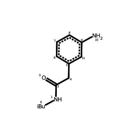 CCC(C)NC(=O)Cc1cccc(N)c1